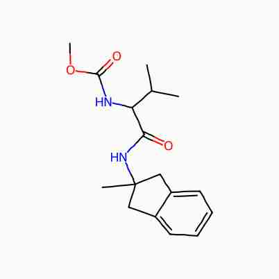 COC(=O)NC(C(=O)NC1(C)Cc2ccccc2C1)C(C)C